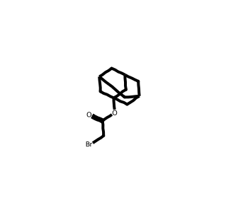 O=C(CBr)OC12CC3CC(CC(C3)C1)C2